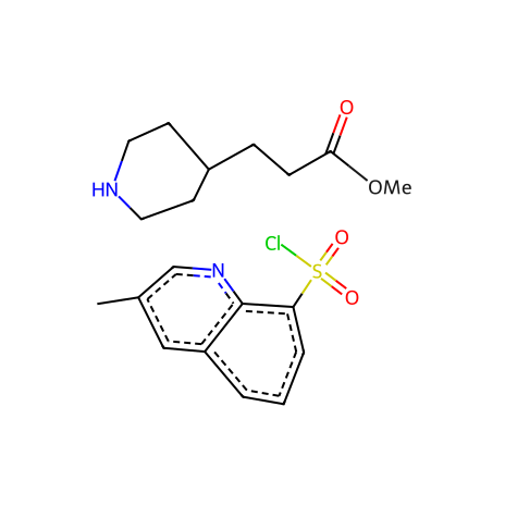 COC(=O)CCC1CCNCC1.Cc1cnc2c(S(=O)(=O)Cl)cccc2c1